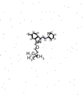 C[Si](C)(C)CCOCn1nc(/C=C/c2ccccn2)c2ccc(I)cc21